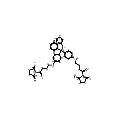 O=C(CCCOc1ccc(C(Oc2cccs2)(c2ccccc2)c2ccc(OCCCC(=O)N3C(=O)CCC3=O)cc2)cc1)N1C(=O)CCC1=O